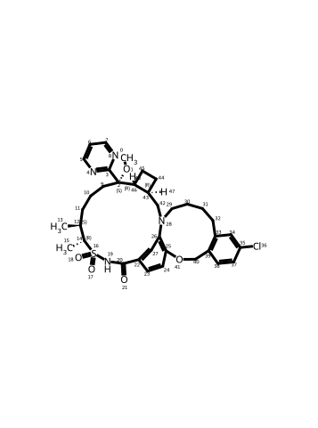 CO[C@@]1(c2ncccn2)CCC[C@H](C)[C@@H](C)S(=O)(=O)NC(=O)c2ccc3c(c2)N(CCCCc2cc(Cl)ccc2CO3)C[C@@H]2CC[C@H]21